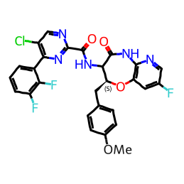 COc1ccc(C[C@@H]2Oc3cc(F)cnc3NC(=O)C2NC(=O)c2ncc(Cl)c(-c3cccc(F)c3F)n2)cc1